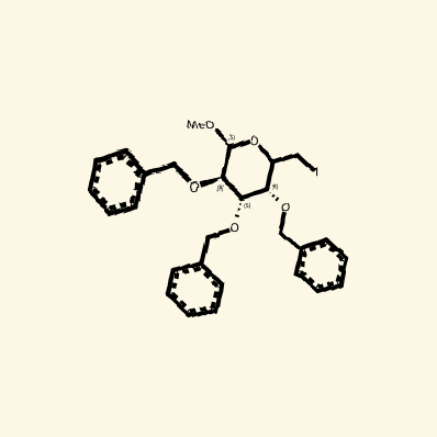 CO[C@H]1OC(CI)[C@H](OCc2ccccc2)[C@H](OCc2ccccc2)[C@H]1OCc1ccccc1